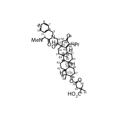 CNCC(=O)N(Cc1ccncc1)C[C@H](O)[C@@]12CC[C@]3(C)[C@H](CC[C@@H]4[C@@]5(C)CC[C@H](OC(=O)CC(C)(C)C(=O)O)C(C)(C)[C@@H]5CC[C@]43C)C1=C(C(C)C)C(=O)C2